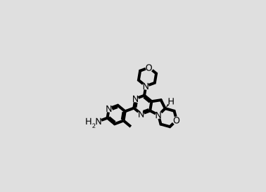 Cc1cc(N)ncc1-c1nc(N2CCOCC2)c2c(n1)N1CCOC[C@@H]1C2